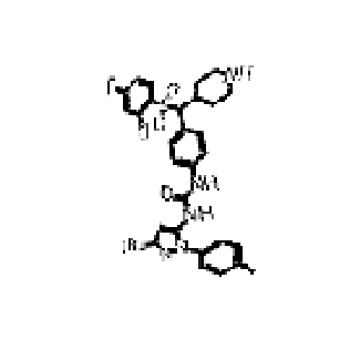 Cc1ccc(-n2nc(C(C)(C)C)cc2NC(=O)Nc2ccc(C(C3CCNCC3)S(=O)(=O)c3ccc(F)cc3Cl)cc2)cc1